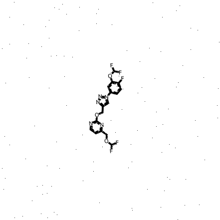 Fc1ccc(-n2cc(COc3nccc(COC(F)F)n3)nn2)cc1OC(F)F